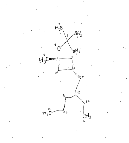 BC(B)(B)O[C@]1(C)C[C@H](CC(CC)CCC)C1